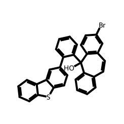 OC1(c2ccccc2-c2ccc3sc4ccccc4c3c2)c2ccccc2C=Cc2cc(Br)ccc21